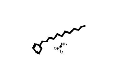 CCCCCCCCCCCCc1ccccc1.N=S(=O)=O